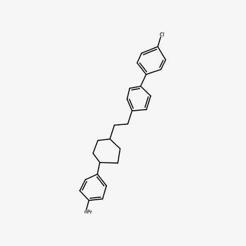 CCCc1ccc(C2CCC(CCc3ccc(-c4ccc(Cl)cc4)cc3)CC2)cc1